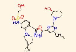 Cc1cc(-c2nnc(-c3ccc(NS(=O)(=O)CCO)cc3N3CCC4(CC3)CC4)o2)nc(N2CCC[C@H](O)C2)n1